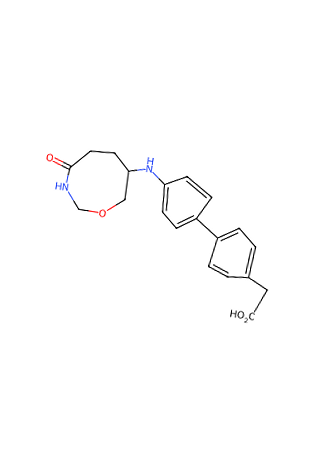 O=C(O)Cc1ccc(-c2ccc(NC3CCC(=O)NCOC3)cc2)cc1